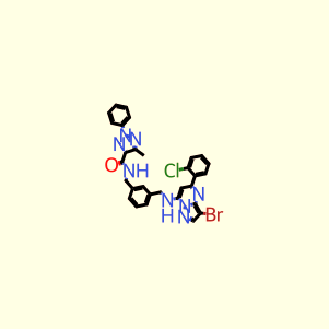 Cc1nn(-c2ccccc2)nc1C(=O)NCc1cccc(CNc2cc(-c3ccccc3Cl)nc3c(Br)cnn23)c1